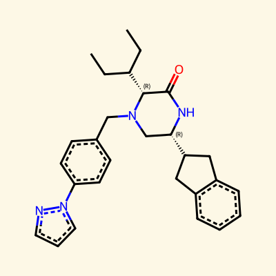 CCC(CC)[C@@H]1C(=O)N[C@H](C2Cc3ccccc3C2)CN1Cc1ccc(-n2cccn2)cc1